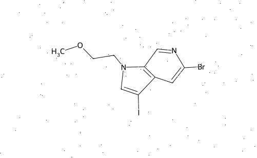 COCCn1cc(I)c2cc(Br)ncc21